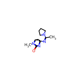 C/C(=N/c1ccn(C)c(=O)n1)N1CCCC1